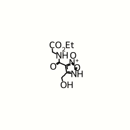 CCOC(=O)CNC(=O)c1c(CO)[nH]o[n+]1=O